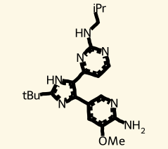 COc1cc(-c2nc(C(C)(C)C)[nH]c2-c2ccnc(NCC(C)C)n2)cnc1N